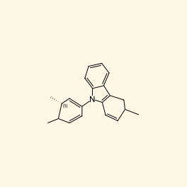 CC1C=Cc2c(c3ccccc3n2C2=C[C@@H](C)C(C)C=C2)C1